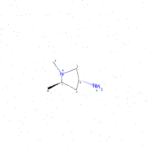 C[C@@H]1C[C@@H](N)CN1C